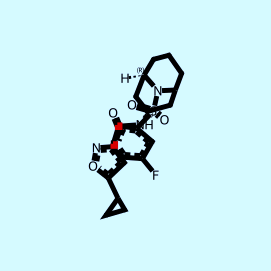 O=C(N[C@H]1CC2CCC[C@H](C1)N2S(=O)(=O)c1cncc(F)c1)c1cc(C2CC2)on1